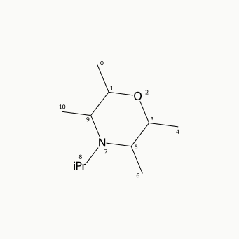 CC1OC(C)C(C)N(C(C)C)C1C